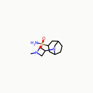 CN1CC(N2CC3CCC2CC(S(N)(=O)=O)C3)C1